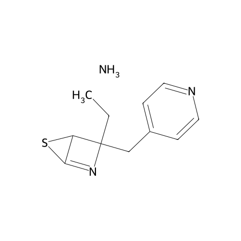 CCC1(Cc2ccncc2)N=C2SC21.N